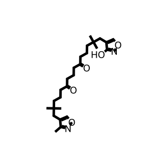 Cc1nocc1CC(C)(C)CCCC(=O)CCCC(=O)CCCC(C)(C)Cc1conc1O